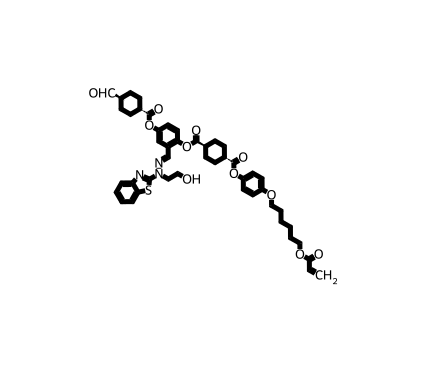 C=CC(=O)OCCCCCCOc1ccc(OC(=O)[C@H]2CC[C@H](C(=O)Oc3ccc(OC(=O)[C@H]4CC[C@H](C=O)CC4)cc3/C=N/N(CCO)c3nc4ccccc4s3)CC2)cc1